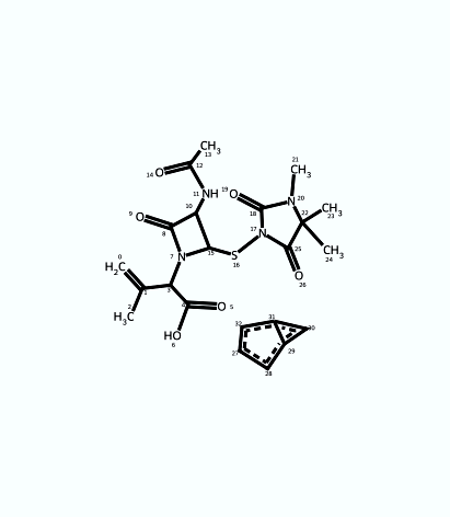 C=C(C)C(C(=O)O)N1C(=O)C(NC(C)=O)C1SN1C(=O)N(C)C(C)(C)C1=O.c1cc2cc-2c1